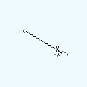 CCCCCCCCCCCCCCCCCCCCCC(=O)OCC(C)C